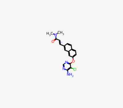 CN(C)C(=O)/C=C/c1ccc2ccc(Oc3ncnc(N)c3Cl)cc2c1